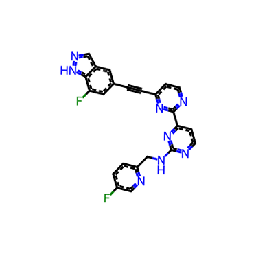 Fc1ccc(CNc2nccc(-c3nccc(C#Cc4cc(F)c5[nH]ncc5c4)n3)n2)nc1